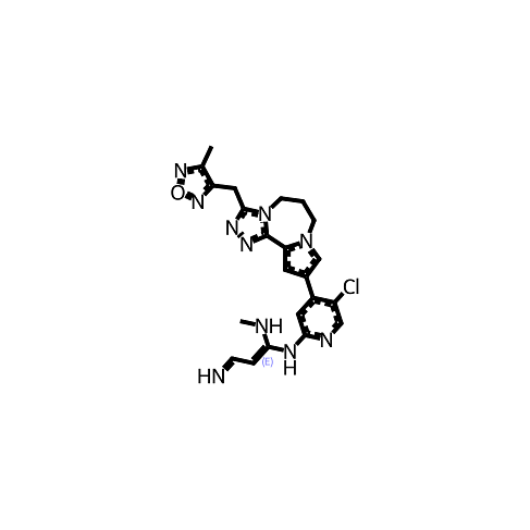 CN/C(=C\C=N)Nc1cc(-c2cc3n(c2)CCCn2c(Cc4nonc4C)nnc2-3)c(Cl)cn1